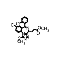 COC(=O)CC[C@@H]1N=C(c2ccccc2Cl)c2cc(Cl)ccc2-n2c(SC)nnc21